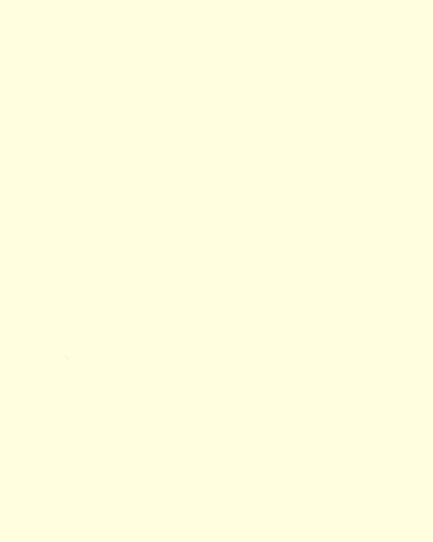 CCCc1ccc(-c2ccc(CCC3CC(=O)O3)cc2)cc1